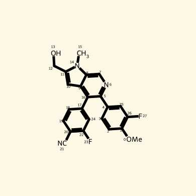 COc1ccc(-c2ncc3c(cc(CO)n3C)c2-c2ccc(C#N)c(F)c2)cc1F